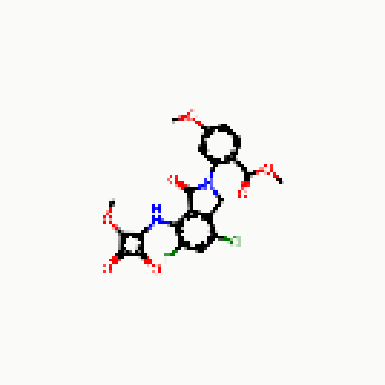 COC(=O)c1ccc(OC)cc1N1Cc2c(Cl)cc(F)c(Nc3c(OC)c(=O)c3=O)c2C1=O